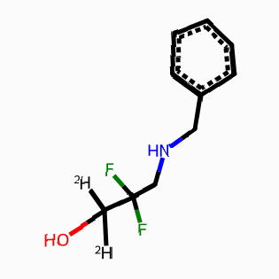 [2H]C([2H])(O)C(F)(F)CNCc1ccccc1